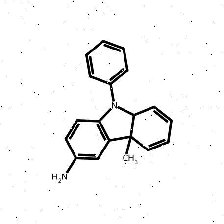 CC12C=CC=CC1N(c1ccccc1)c1ccc(N)cc12